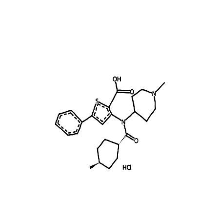 CN1CCC(N(c2cc(-c3ccccc3)sc2C(=O)O)C(=O)[C@H]2CC[C@H](C)CC2)CC1.Cl